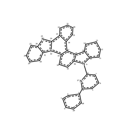 c1ccc(-c2cccc(-n3c4ccccc4c4c5c6ccccc6c6nc7ccccc7n6c5ccc43)n2)cc1